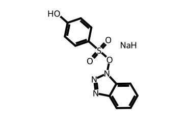 O=S(=O)(On1nnc2ccccc21)c1ccc(O)cc1.[NaH]